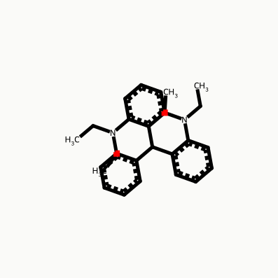 CCN(CC)c1ccccc1C(c1ccccc1)c1ccccc1N(CC)CC